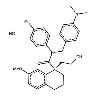 COc1ccc2c(c1)[C@](CCO)(C(=O)N(Cc1ccc(N(C)C)cc1)c1ccc(C(C)C)cc1)CCC2.Cl